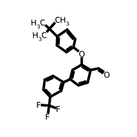 CC(C)(C)c1ccc(Oc2cc(-c3cccc(C(F)(F)F)c3)ccc2C=O)cc1